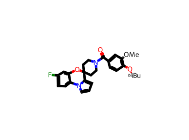 CC[C@H](C)Oc1ccc(C(=O)N2CCC3(CC2)Oc2cc(F)ccc2-n2cccc23)cc1OC